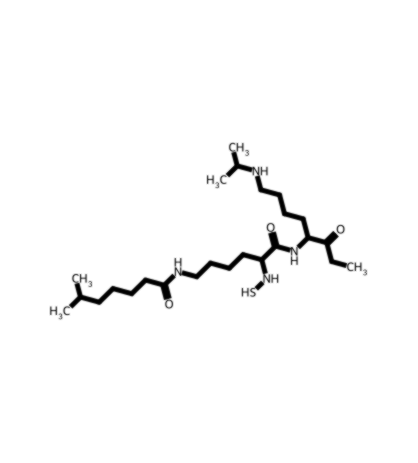 CCC(=O)C(CCCCNC(C)C)NC(=O)C(CCCCNC(=O)CCCCC(C)C)NS